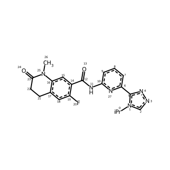 CC(C)n1cnnc1-c1cccc(NC(=O)c2cc3c(cc2F)CCC(=O)N3C)n1